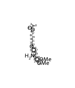 C=C(C)C(=O)OCCCCCCCCOc1ccc(/C=C(\N)c2ccc(OC)c(OC)c2)cc1